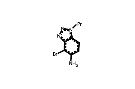 CC(C)n1nnc2c(Br)c(N)ccc21